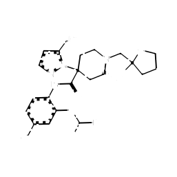 CC(C)c1ccnn1C1(C(=O)Nc2ccc(Cl)cc2OC(F)F)CCN(CC2(C(=O)O)CCCO2)CC1